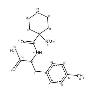 CNC1(C(=O)NC(Cc2ccc(C)cc2)C(N)=O)CCOCC1